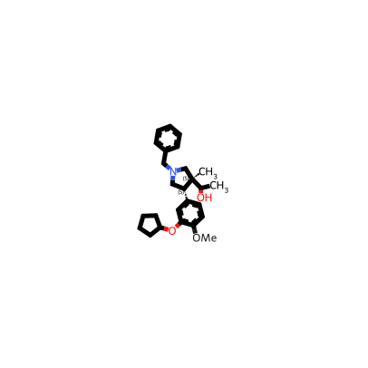 COc1ccc([C@@H]2CN(Cc3ccccc3)C[C@@]2(C)C(C)O)cc1OC1CCCC1